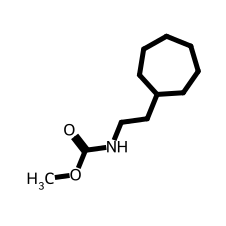 COC(=O)NCCC1CCCCCC1